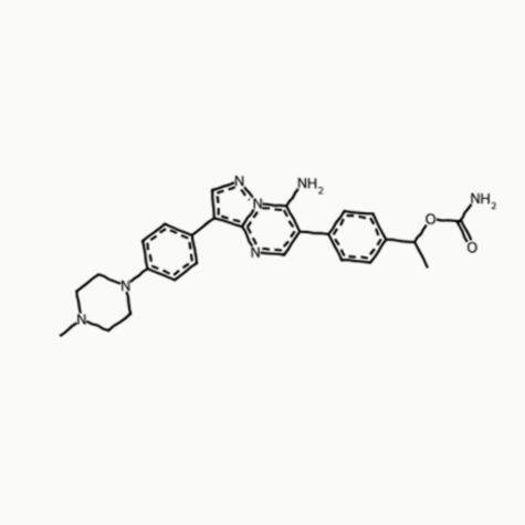 CC(OC(N)=O)c1ccc(-c2cnc3c(-c4ccc(N5CCN(C)CC5)cc4)cnn3c2N)cc1